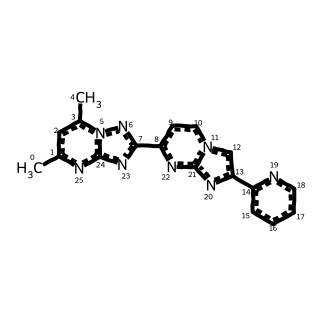 Cc1cc(C)n2nc(-c3ccn4cc(-c5ccccn5)nc4n3)nc2n1